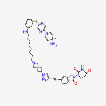 CC1(N)C=CN(c2cnc(Sc3cccc(NCCCCCCCCN4CC5(CC(n6cc(C#Cc7ccc8c(c7)CN(C7CCC(=O)NC7=O)C8=O)cn6)C5)C4)c3)cn2)C=C1